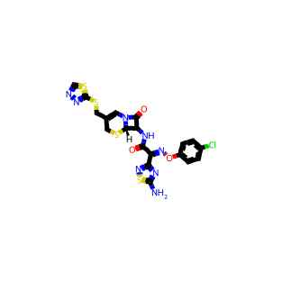 Nc1nc(C(=NOc2ccc(Cl)cc2)C(=O)NC2C(=O)N3C=C(CSc4nncs4)CS[C@@H]23)ns1